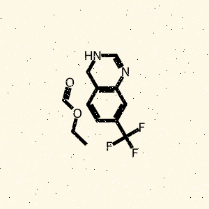 CCOC=O.FC(F)(F)c1ccc2c(c1)N=CNC2